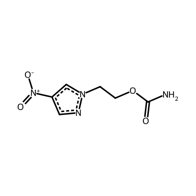 NC(=O)OCCn1cc([N+](=O)[O-])cn1